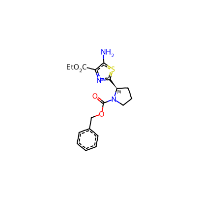 CCOC(=O)c1nc([C@H]2CCCN2C(=O)OCc2ccccc2)sc1N